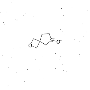 [O-][S+]1CCC2(COC2)C1